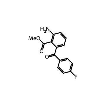 COC(=O)c1c(N)cccc1C(=O)c1ccc(F)cc1